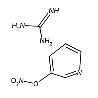 N=C(N)N.O=[N+]([O-])Oc1cccnc1